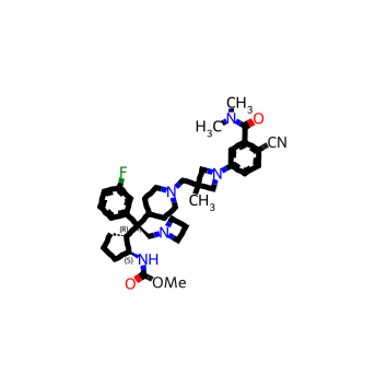 COC(=O)N[C@H]1CCC[C@@H]1[C@](CN1CCC1)(c1cccc(F)c1)C1CCN(CC2(C)CN(c3ccc(C#N)c(C(=O)N(C)C)c3)C2)CC1